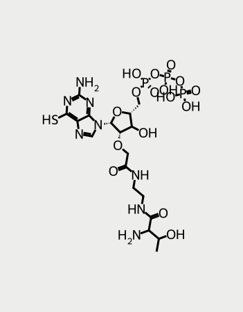 CC(O)C(N)C(=O)NCCNC(=O)CO[C@H]1C(O)[C@@H](COP(=O)(O)OP(=O)(O)OP(=O)(O)O)O[C@H]1n1cnc2c(S)nc(N)nc21